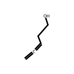 C=C=CCCO